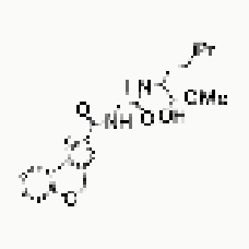 COC(O)C(CCC(C)C)NC(=O)CNC(=O)c1cc2c(s1)-c1ccccc1OC2